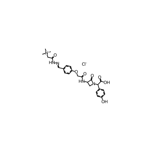 C[N+](C)(C)CC(=O)NN=Cc1ccc(OCC(=O)NC2CN(C(C(=O)O)c3ccc(O)cc3)C2=O)cc1.[Cl-]